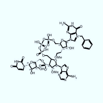 COCC[C@H]1[C@@H](O)[C@H](n2c[n+](Cc3ccccc3)c3c(=O)[nH]c(N)nc32)O[C@@H]1COP(=O)(O)OP(=O)(O)OP(=O)(O)OCC1O[C@@H](n2cnc3c(N)ncnc32)[C@H](OC)[C@@H]1P(=O)([O-])OC[C@H]1O[C@@H](n2ccc(=O)[nH]c2=O)[C@H](O)[C@@H]1O